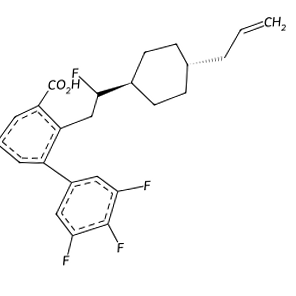 C=CC[C@H]1CC[C@H](C(F)Cc2c(C(=O)O)cccc2-c2cc(F)c(F)c(F)c2)CC1